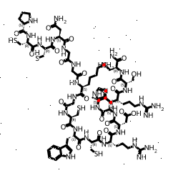 C[C@H](NC(=O)[C@H](Cc1c[nH]cn1)NC(=O)[C@H](CC(=O)O)NC(=O)[C@H](CCCNC(=N)N)NC(=O)[C@H](CS)NC(=O)[C@H](Cc1c[nH]c2ccccc12)NC(=O)[C@H](CS)NC(=O)CNC(=O)[C@H](CCCCN)NC(=O)CNC(=O)CNC(=O)[C@H](CC(N)=O)NC(=O)[C@H](CS)NC(=O)[C@H](CS)NC(=O)[C@@H]1CCCN1)C(=O)N[C@@H](CCCNC(=N)N)C(=O)N[C@@H](CO)C(=O)N[C@@H](CS)C(N)=O